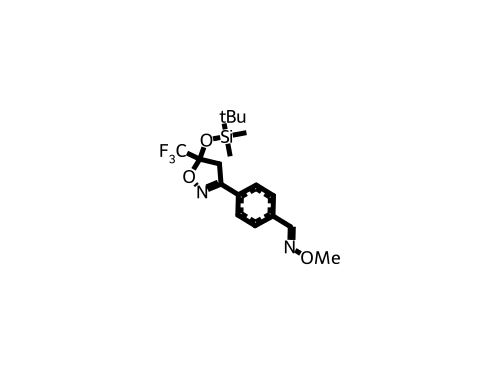 CON=Cc1ccc(C2=NOC(O[Si](C)(C)C(C)(C)C)(C(F)(F)F)C2)cc1